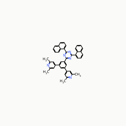 Cc1cc(-c2cc(-c3cc(C)nc(C)c3)cc(-c3nc(-c4cccc5ccccc45)nc(-c4cccc5ccccc45)n3)c2)cc(C)n1